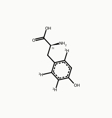 [2H]c1cc(O)c([2H])c([2H])c1C[C@H](N)C(=O)O